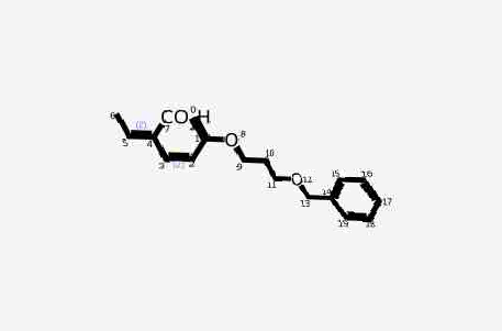 C=C(/C=C\C(=C\C)C(=O)O)OCCCOCc1ccccc1